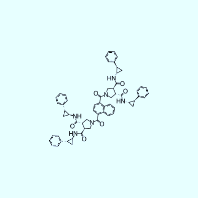 O=C(N[C@H]1C[C@@H]1c1ccccc1)[C@@H]1CN(C(=O)c2ccc(C(=O)N3C[C@@H](C(=O)N[C@H]4C[C@@H]4c4ccccc4)[C@H](C(=O)N[C@H]4C[C@@H]4c4ccccc4)C3)c3ccccc23)C[C@H]1C(=O)N[C@H]1C[C@@H]1c1ccccc1